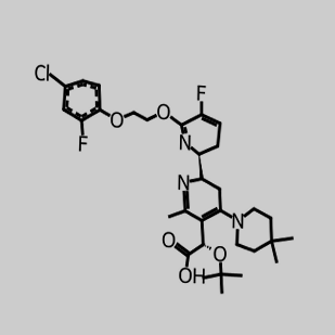 CC1=NC([C@@H]2CC=C(F)C(OCCOc3ccc(Cl)cc3F)=N2)CC(N2CCC(C)(C)CC2)=C1[C@H](OC(C)(C)C)C(=O)O